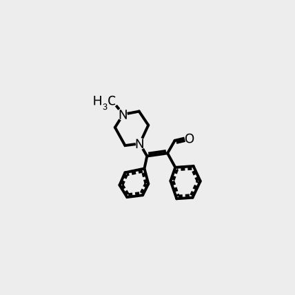 CN1CCN(C(=C(C=O)c2ccccc2)c2ccccc2)CC1